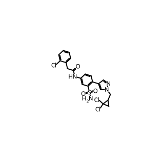 NS(=O)(=O)c1cc(NC(=O)Cc2ccccc2Cl)ccc1-c1cnn(CC2CC2(Cl)Cl)c1